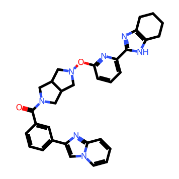 O=C(c1cccc(-c2cn3ccccc3n2)c1)N1CC2CN(Oc3cccc(-c4nc5c([nH]4)CCCC5)n3)CC2C1